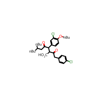 CCCCOc1ccc(C(C(=O)CC(CCCC)CCCC)C(C(=O)O)C(=O)Cc2ccc(Cl)cc2)cc1Cl